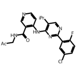 CC(=O)CNC(=O)c1cnccc1Nc1nc(-c2cc(Cl)ccc2F)ncc1C(C)C